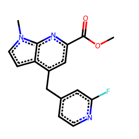 COC(=O)c1cc(Cc2ccnc(F)c2)c2ccn(C)c2n1